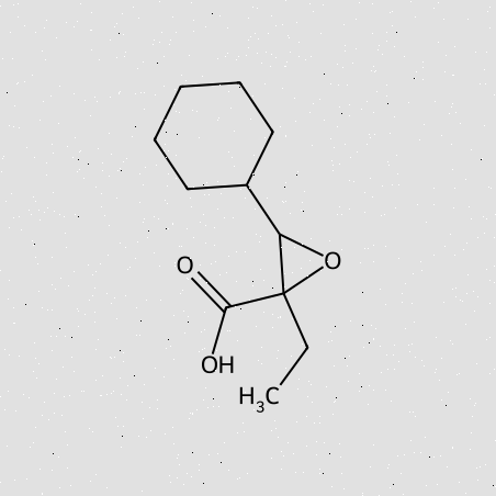 CCC1(C(=O)O)OC1C1CCCCC1